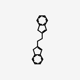 C1=C(CCC2=Cc3ccccc3C2)Cc2ccccc21